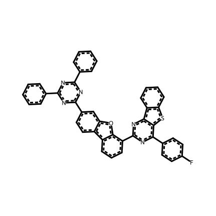 Fc1ccc(-c2nc(-c3cccc4c3oc3cc(-c5nc(-c6ccccc6)nc(-c6ccccc6)n5)ccc34)nc3c2sc2ccccc23)cc1